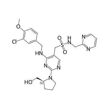 COc1ccc(CNc2nc(N3CCC[C@H]3CO)ncc2CS(=O)(=O)NCc2ncccn2)cc1Cl